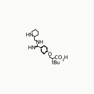 CC(C)(C)[C@@H](COc1ccc(C(=N)NCC2CCCCN2)cc1)C(=O)O